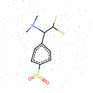 CN(C)C(c1ccc([SH](=O)=O)cc1)C(F)F